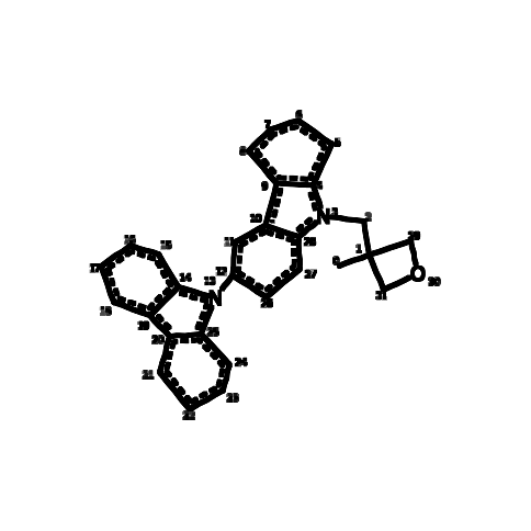 CC1(Cn2c3ccccc3c3cc(-n4c5ccccc5c5ccccc54)ccc32)COC1